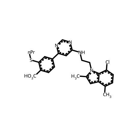 CCCSc1cc(-c2cc(NCCn3c(C)cc4c(C)ccc(Cl)c43)ncn2)ccc1C(=O)O